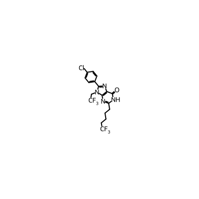 O=c1[nH]c(CCCCC(F)(F)F)nc2c1nc(-c1ccc(Cl)cc1)n2CC(F)(F)F